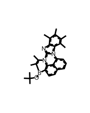 CC1=C(C)n2c3c(ccc4cccc(c43)n3c4c(C)c(C)c(C)c(C)c4nc23)B1OC(C)(C)C